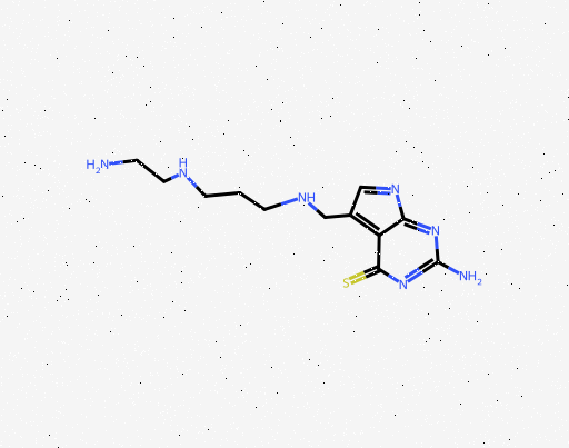 NCCNCCCNCC1=C2C(=S)N=C(N)N=C2N=C1